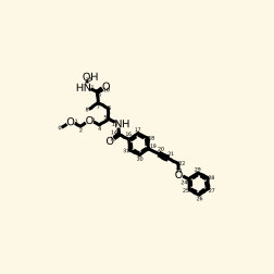 COCOCC(CC(C)C(=O)NO)NC(=O)c1ccc(C#CCOc2ccccc2)cc1